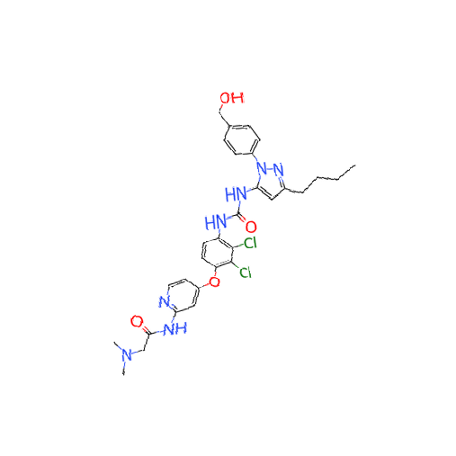 CCCCc1cc(NC(=O)Nc2ccc(Oc3ccnc(NC(=O)CN(C)C)c3)c(Cl)c2Cl)n(-c2ccc(CO)cc2)n1